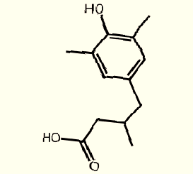 Cc1cc(CC(C)CC(=O)O)cc(C)c1O